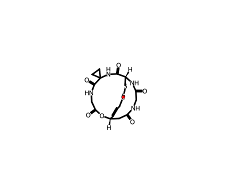 O=C1C[C@H]2/C=C/CCSSC[C@@H](NC(=O)CN1)C(=O)NC1(CC1)C(=O)NCC(=O)O2